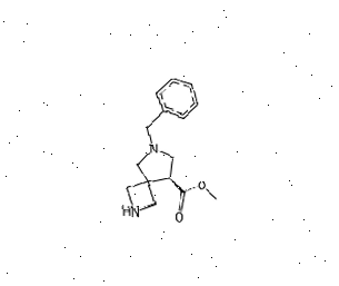 COC(=O)[C@@H]1CN(Cc2ccccc2)CC12CNC2